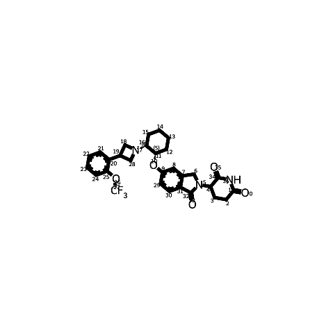 O=C1CCC(N2Cc3cc(O[C@H]4CCCC[C@H]4N4CC(c5ccccc5OC(F)(F)F)C4)ccc3C2=O)C(=O)N1